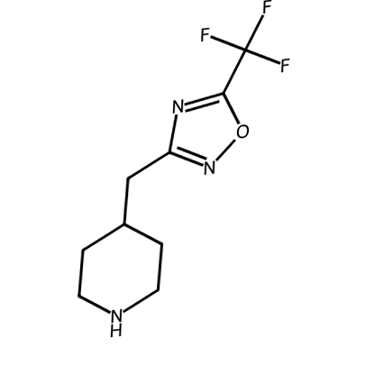 FC(F)(F)c1nc(CC2CCNCC2)no1